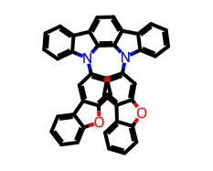 c1ccc2c(c1)oc1cc(-n3c4ccccc4c4ccc5c6ccccc6n(-c6ccc7oc8ccccc8c7c6)c5c43)ccc12